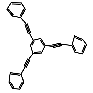 C(#Cc1cc(C#Cc2ccccc2)cc(C#Cc2ccccc2)c1)c1ccccc1